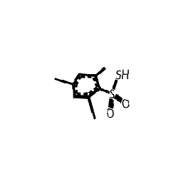 Cc1cc(C)c(S(=O)(=O)S)c(C)c1